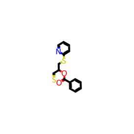 O=C(OC(C=S)CSc1ccccn1)c1ccccc1